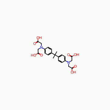 CC(C)(c1ccc(N(CC(=O)O)CC(=O)O)cc1)c1ccc(N(CC(=O)O)CC(=O)O)cc1